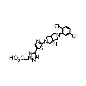 O=C(O)Cn1nnc(-c2cnc(N3CC4CN(c5cc(Cl)ccc5Cl)C[C@H]4C3)s2)n1